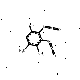 Cc1cc(C)c(N=C=O)c(N=C=O)c1C